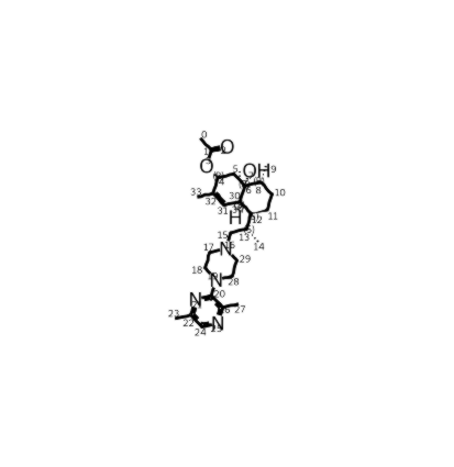 CC(=O)O[C@@H]1[C][C@@]2(O)[C@H](C)CC[C@@H]([C@H](C)CN3CCN(c4nc(C)cnc4C)CC3)[C@H]2C=C1C